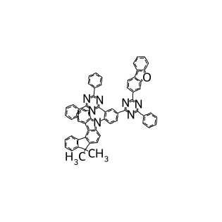 CC1(C)c2ccccc2-c2c1ccc1c2c2ccccc2n1-c1ccc(-c2nc(-c3ccccc3)nc(-c3ccc4c(c3)oc3ccccc34)n2)cc1-c1nc(-c2ccccc2)nc(-c2ccccc2)n1